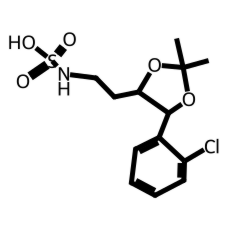 CC1(C)OC(CCNS(=O)(=O)O)C(c2ccccc2Cl)O1